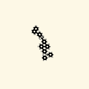 c1ccc(N(c2ccccc2)c2ccc(-c3ccccc3-c3ccccc3-c3ccc(-c4nc5ccc(-c6cccc7ccccc67)cc5o4)cc3)cc2)cc1